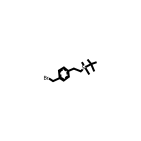 CC(C)(C)[Si](C)(C)CCc1ccc(CBr)cc1